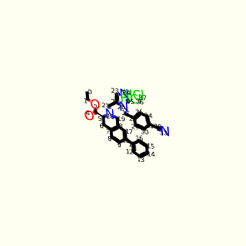 CCOC(=O)[C@@H]1Cc2ccc(-c3ccccc3)cc2CN1Cc1cncn1Cc1ccc(C#N)cc1.Cl.Cl